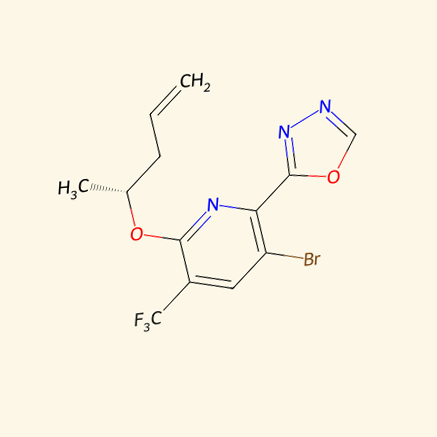 C=CC[C@@H](C)Oc1nc(-c2nnco2)c(Br)cc1C(F)(F)F